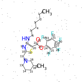 CCCCCCCNc1nc(CN2CCCC(C)C2)sc1C(=O)Oc1c(F)c(F)c(F)c(F)c1F